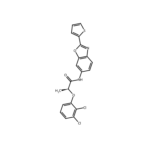 C[C@H](Oc1cccc(Cl)c1Cl)C(=O)Nc1ccc2nc(-c3cccs3)oc2c1